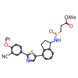 COC(=O)CC[S+]([O-])NC1CCc2c(-c3cnc(-c4ccc(OC(C)C)c(C#N)c4)s3)cccc21